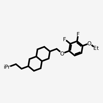 CCOc1ccc(OCC2CCC3CC(CCC(C)C)CCC3C2)c(F)c1F